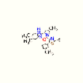 C=C1CC(c2nc3cc(C)c(C)cc3[nH]2)N(C(=O)c2nc(C3CC3)sc2-c2cccc(C)c2)C1